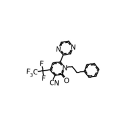 N#Cc1c(C(F)(F)C(F)(F)F)cc(-c2cnccn2)n(CCc2ccccc2)c1=O